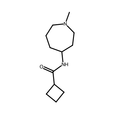 CN1CCCC(NC(=O)C2CCC2)CC1